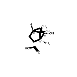 CC1(C)[C@@H]2CC[C@]1(C)[C@@H](O)C2.O=CO